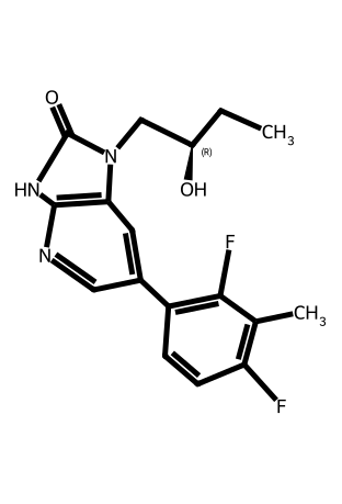 CC[C@@H](O)Cn1c(=O)[nH]c2ncc(-c3ccc(F)c(C)c3F)cc21